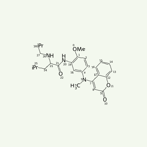 COc1ccc(N(C)c2cc(=O)oc3ccccc23)cc1NC(=O)C(CC(C)C)NCC(C)C